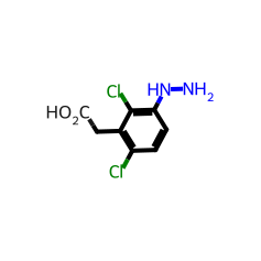 NNc1ccc(Cl)c(CC(=O)O)c1Cl